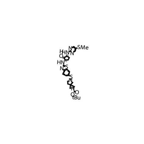 CSc1cnc(N[C@H]2CC[C@H](Nc3nc4ccc(SN5CCC6(C5)CN(C(=O)OC(C)(C)C)C6)cc4s3)[C@@H]2O)nc1